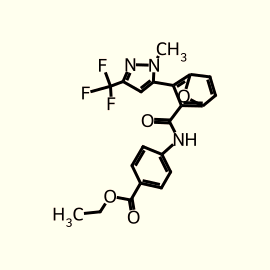 CCOC(=O)c1ccc(NC(=O)c2c(-c3cc(C(F)(F)F)nn3C)c3ccc2o3)cc1